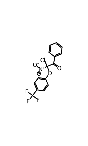 O=C(c1ccccc1)C(Cl)(Oc1ccc(C(F)(F)F)cc1)[N+](=O)[O-]